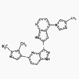 Cc1cn(-c2ccnc3[nH]c(-c4n[nH]c5ccc(-c6cnc(C)n6C)nc45)cc23)cn1